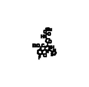 CCOC(=O)C1=C([C@H]2C[C@@H](NC(=O)OC(C)(C)C)CO2)NC(c2nccs2)=NC1c1cccc(F)c1Cl